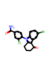 NC(=O)c1ccc(-n2c3c(c4cc(Br)ccc42)C(=O)CCC3)c(Cl)c1